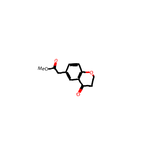 COC(=O)Cc1ccc2c(c1)C(=O)CCO2